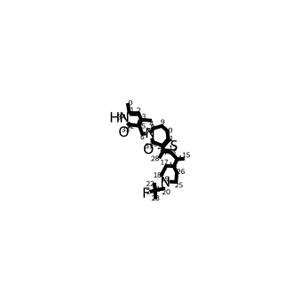 Cc1cc(C)c(CN2CCCc3sc(C(C)C4CCN(CC(C)(C)F)CC4)c(C)c3C2=O)c(=O)[nH]1